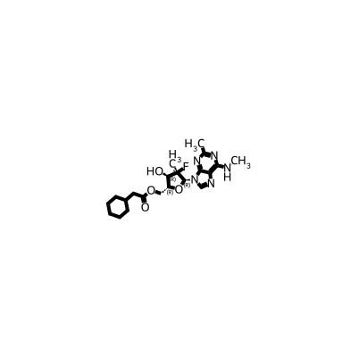 CNc1nc(C)nc2c1ncn2[C@@H]1O[C@H](COC(=O)CC2CCCCC2)[C@@H](O)[C@@]1(C)F